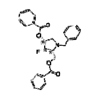 O=C(OC[C@@H]1[C@H](F)[C@H](OC(=O)c2ccccc2)CN1Cc1ccccc1)c1ccccc1